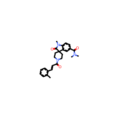 Cc1ccccc1/C=C/C(=O)N1CCC2(CC1)C(=O)N(C)c1ccc(C(=O)N(C)C)cc12